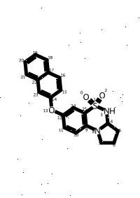 O=S1(=O)NC2CCCN2c2ccc(Oc3ccc4ccccc4c3)cc21